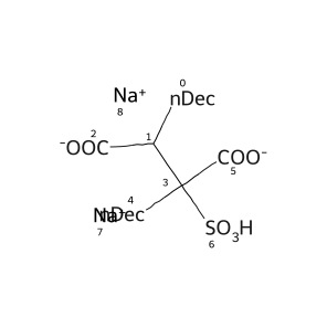 CCCCCCCCCCC(C(=O)[O-])C(CCCCCCCCCC)(C(=O)[O-])S(=O)(=O)O.[Na+].[Na+]